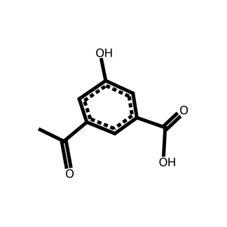 CC(=O)c1cc(O)cc(C(=O)O)c1